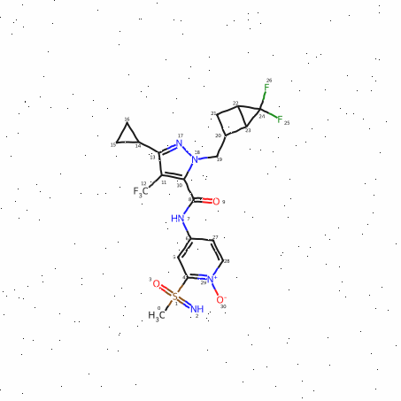 CS(=N)(=O)c1cc(NC(=O)c2c(C(F)(F)F)c(C3CC3)nn2CC2CC3C2C3(F)F)cc[n+]1[O-]